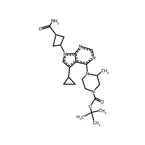 CC1CN(C(=O)OC(C)(C)C)CCN1c1ncnc2c1c(C1CC1)cn2C1CC(C(N)=O)C1